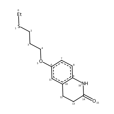 CCSCCCOc1ccc2c(c1)CCC(=O)N2